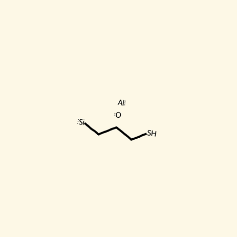 [Al].[O].[Si]CCCS